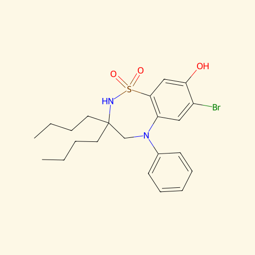 CCCCC1(CCCC)CN(c2ccccc2)c2cc(Br)c(O)cc2S(=O)(=O)N1